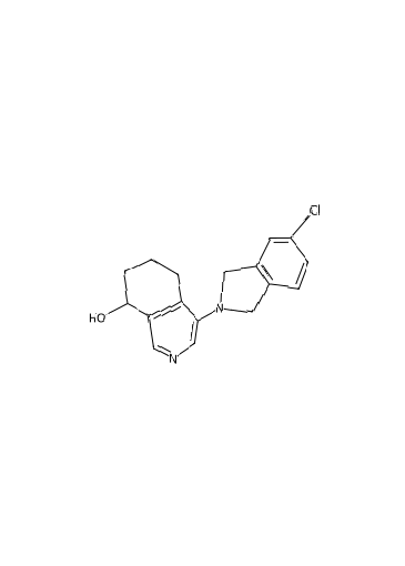 OC1CCCc2c1cncc2N1Cc2ccc(Cl)cc2C1